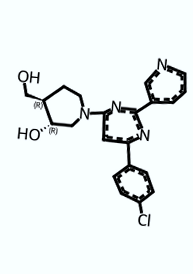 OC[C@H]1CCN(c2cc(-c3ccc(Cl)cc3)nc(-c3cccnc3)n2)C[C@@H]1O